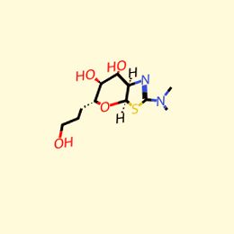 CN(C)C1=N[C@@H]2[C@@H](O)[C@H](O)[C@@H](CCCO)O[C@@H]2S1